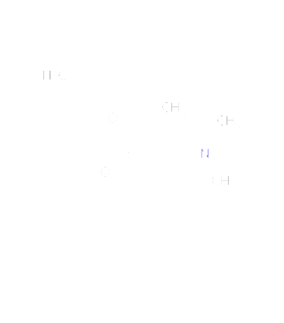 CCOC(=O)C(C)(c1ccccc1)N(C)C